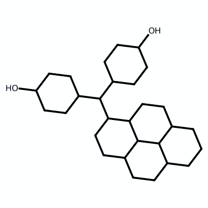 OC1CCC(C(C2CCC(O)CC2)C2CCC3CCC4CCCC5CCC2C3C45)CC1